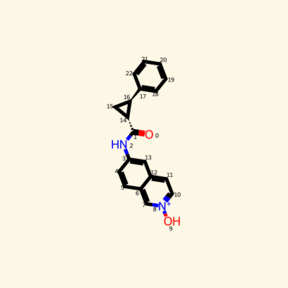 O=C(Nc1ccc2c[n+](O)ccc2c1)[C@@H]1C[C@H]1c1ccccc1